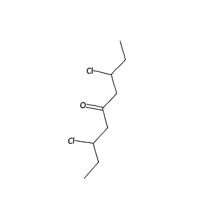 CCC(Cl)CC(=O)CC(Cl)CC